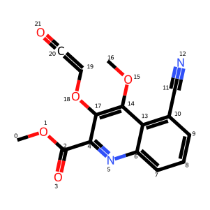 COC(=O)c1nc2cccc(C#N)c2c(OC)c1OC=C=O